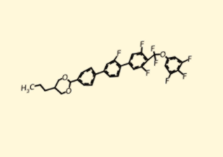 CCCC1COC(c2ccc(-c3ccc(-c4cc(F)c(C(F)(F)Oc5cc(F)c(F)c(F)c5)c(F)c4)c(F)c3)cc2)OC1